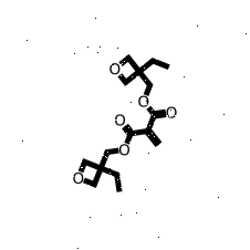 C=C(C(=O)OCC1(CC)COC1)C(=O)OCC1(CC)COC1